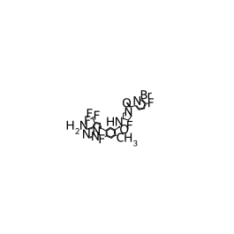 Cc1cc(F)c(-c2cc(C(F)(F)F)c3c(N)ncnn23)cc1C(=O)N[C@@H]1CN(C(=O)c2ccc(F)c(Br)n2)C[C@@H]1F